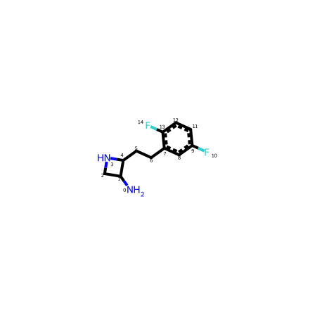 NC1CNC1CCc1cc(F)ccc1F